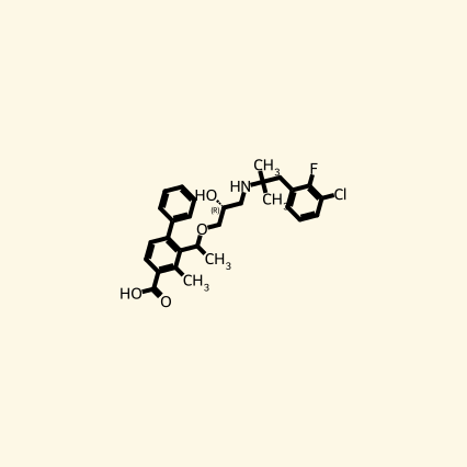 Cc1c(C(=O)O)ccc(-c2ccccc2)c1C(C)OC[C@H](O)CNC(C)(C)Cc1cccc(Cl)c1F